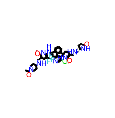 COC1=C(CNC[C@@H]2CCC(=O)N2)C=CC(c2ccncc2Cl)(c2cccc3c2CC[C@@H]3Nc2nc(OC)c(CNC3CCN(C(C)=O)CC3)cc2C(F)(F)F)N1